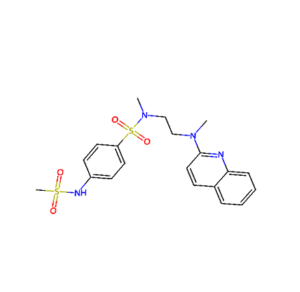 CN(CCN(C)S(=O)(=O)c1ccc(NS(C)(=O)=O)cc1)c1ccc2ccccc2n1